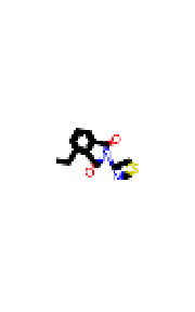 CCc1cccc2c1C(=O)N(c1cscn1)C2=O